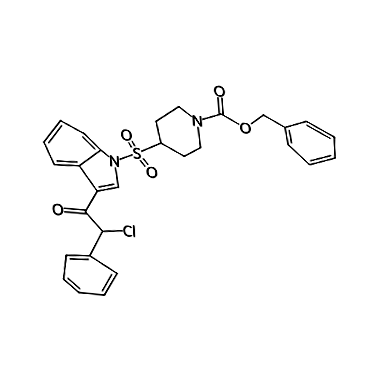 O=C(c1cn(S(=O)(=O)C2CCN(C(=O)OCc3ccccc3)CC2)c2ccccc12)C(Cl)c1ccccc1